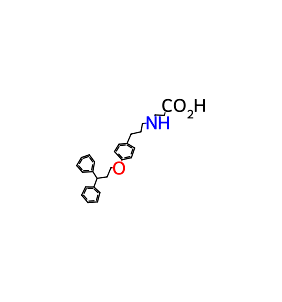 O=C(O)CCNCCCc1ccc(OCCC(c2ccccc2)c2ccccc2)cc1